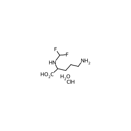 Cl.NCCCC(NC(F)F)C(=O)O.O